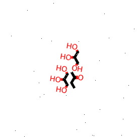 CCC(C)=O.OCC(O)CO.OCC(O)CO